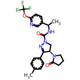 Cc1ccc(C2=NN(C(=O)NC(C)c3ccc(OC(F)(F)F)nc3)C[C@H]2N2CCCC2=O)cc1